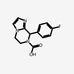 O=C(O)N1CCn2ccnc2C1c1ccc(F)cc1